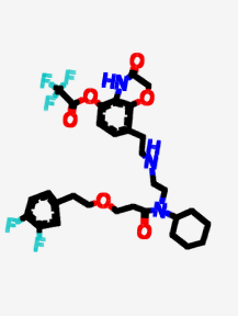 O=C1COc2c(CCNCCN(C(=O)CCOCCc3ccc(F)c(F)c3)C3CCCCC3)ccc(OC(=O)C(F)(F)F)c2N1